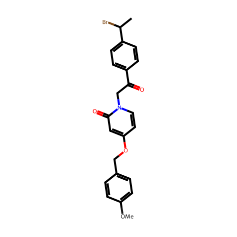 COc1ccc(COc2ccn(CC(=O)c3ccc(C(C)Br)cc3)c(=O)c2)cc1